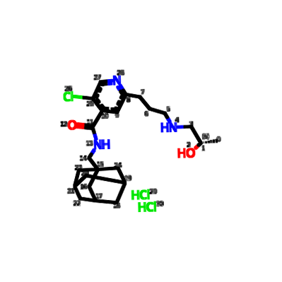 C[C@H](O)CNCCCc1cc(C(=O)NCC23CC4CC(CC(C4)C2)C3)c(Cl)cn1.Cl.Cl